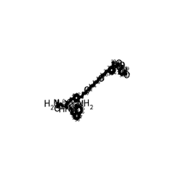 C[C@@H](OCc1ccc(CCCOCCCCCCOCCCc2ccc3c(c2)n(C)c(=O)n3C2CCC(=O)N(C)C2=O)cc1)[C@H](CCC(N)=O)NCC1Cc2cccc3c2N1C(=O)[C@@H](N)CC3